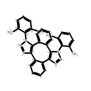 Cc1cccc(C)c1-n1nnc2c1-c1ccccc1-c1c(nnn1-c1c(C)cccc1C)-c1ccccc1-2